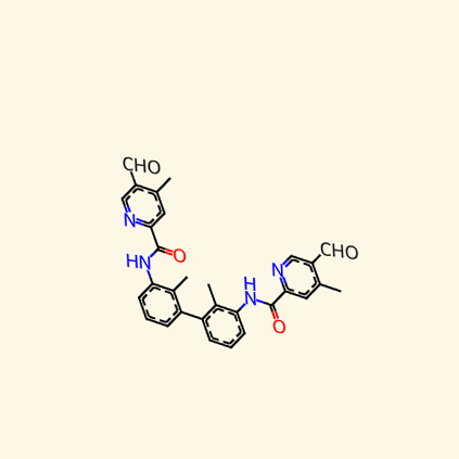 Cc1cc(C(=O)Nc2cccc(-c3cccc(NC(=O)c4cc(C)c(C=O)cn4)c3C)c2C)ncc1C=O